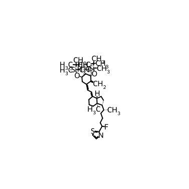 C=C1/C(=C\C=C2/CCC[C@]3(C)[C@@H]([C@H](C)CCCC(F)c4nccs4)CC[C@@H]23)C[C@@H](O[Si](C)(C)C(C)(C)C)C[C@@H]1O[Si](C)(C)C(C)(C)C